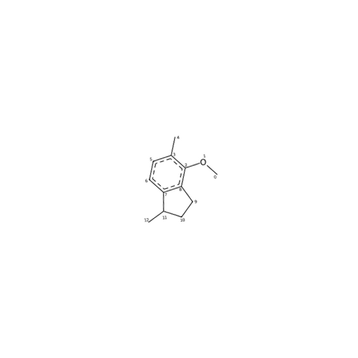 COc1c(C)ccc2c1CCC2C